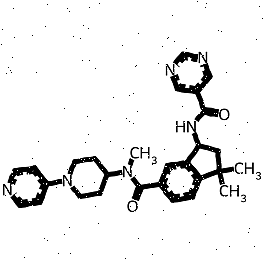 CN(C(=O)c1ccc2c(c1)C(NC(=O)c1cncnc1)CC2(C)C)C1CCN(c2ccncc2)CC1